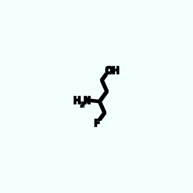 NC(CF)CCO